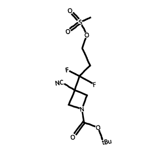 CC(C)(C)OC(=O)N1CC(C#N)(C(F)(F)CCOS(C)(=O)=O)C1